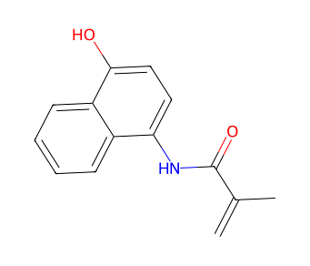 C=C(C)C(=O)Nc1ccc(O)c2ccccc12